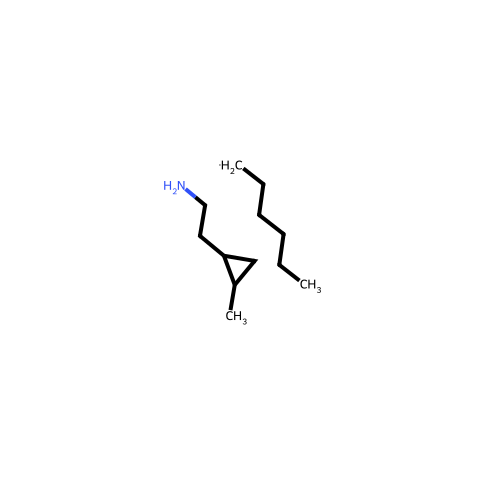 CC1CC1CCN.[CH2]CCCCC